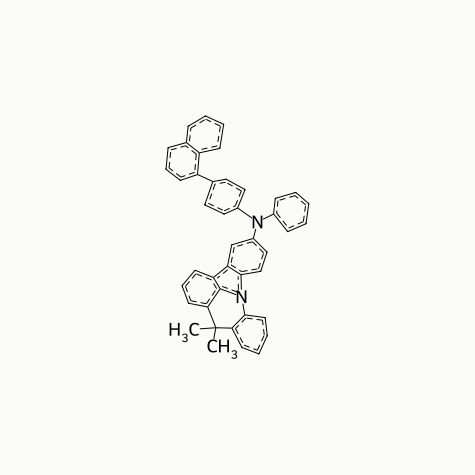 CC1(C)c2ccccc2-n2c3ccc(N(c4ccccc4)c4ccc(-c5cccc6ccccc56)cc4)cc3c3cccc1c32